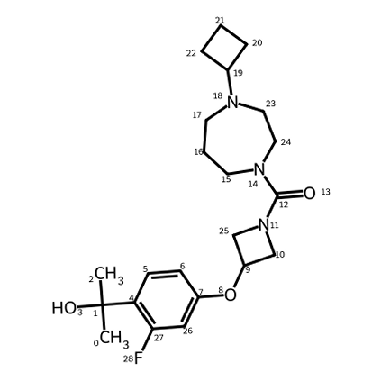 CC(C)(O)c1ccc(OC2CN(C(=O)N3CCCN(C4CCC4)CC3)C2)cc1F